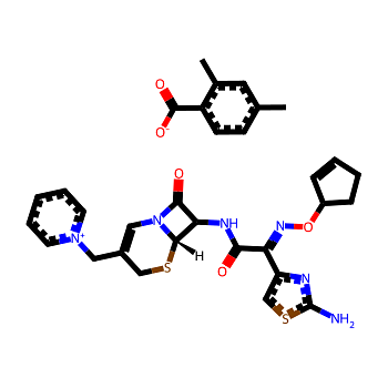 Cc1ccc(C(=O)[O-])c(C)c1.Nc1nc(C(=NOC2C=CCC2)C(=O)NC2C(=O)N3C=C(C[n+]4ccccc4)CS[C@@H]23)cs1